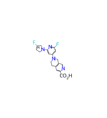 O=C(O)c1cc2c(cn1)CN(c1cc(F)nc(N3CC[C@@H](F)C3)c1)CC2